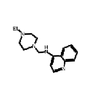 CCN1CCN(CNc2ccnc3ccccc23)CC1